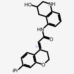 CC(C)c1ccc2c(c1)OCC/C2=C\C(=O)Nc1cccc2c1CC(O)CN2